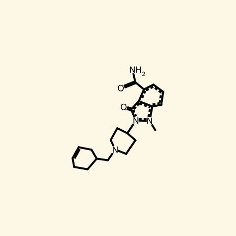 Cn1c2cccc(C(N)=O)c2c(=O)n1C1CCN(CC2CC=CCC2)CC1